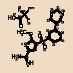 CSc1sc(C(=N)N)cc1S(=O)(=O)c1cccc(-c2cncnc2)c1.O=C(O)C(F)(F)F